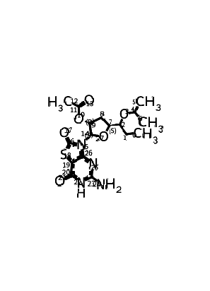 CCC(OC(C)C)[C@@H]1C[C@@H](OC(C)=O)[C@H](n2c(=O)sc3c(=O)[nH]c(N)nc32)O1